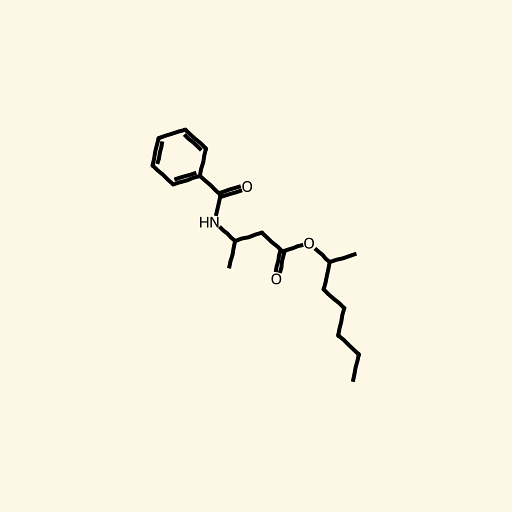 CCCCCC(C)OC(=O)CC(C)NC(=O)c1ccccc1